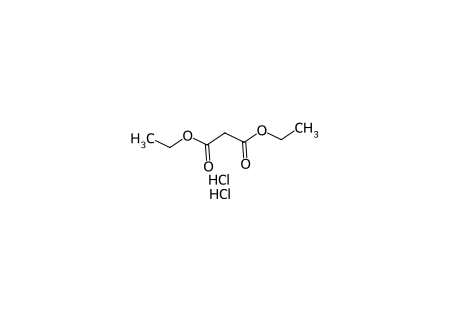 CCOC(=O)CC(=O)OCC.Cl.Cl